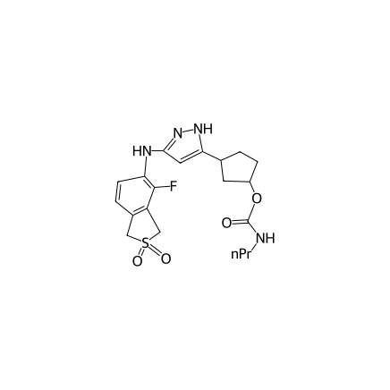 CCCNC(=O)OC1CCC(c2cc(Nc3ccc4c(c3F)CS(=O)(=O)C4)n[nH]2)C1